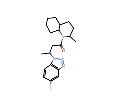 CC1CCC2CCCCC2N1C(=O)CC(C)n1nnc2cc(F)ccc21